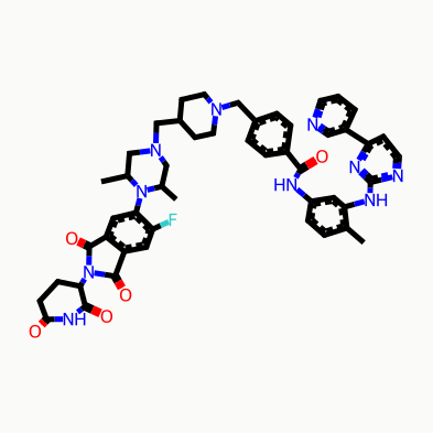 Cc1ccc(NC(=O)c2ccc(CN3CCC(CN4CC(C)N(c5cc6c(cc5F)C(=O)N(C5CCC(=O)NC5=O)C6=O)C(C)C4)CC3)cc2)cc1Nc1nccc(-c2cccnc2)n1